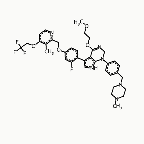 COCCOC1=NCN(c2ccc(CN3CCN(C)CC3)cc2)c2[nH]cc(-c3ccc(OCc4nccc(OCC(F)(F)F)c4C)cc3F)c21